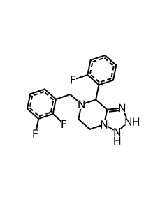 Fc1ccccc1C1C2=NNNN2CCN1Cc1cccc(F)c1F